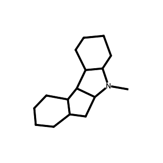 CN1C2CCCCC2C2C3CCCCC3CC21